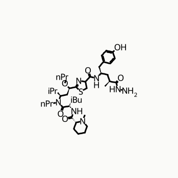 CCCO[C@H](C[C@H](C(C)C)N(CCC)C(=O)[C@@H](NC(=O)[C@H]1CCCCN1C)[C@@H](C)CC)C1=NC(C(=O)N[C@@H](Cc2ccc(O)cc2)C[C@H](C)C(=O)NN)CS1